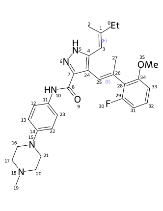 CC/C(C)=C/c1[nH]nc(C(=O)Nc2ccc(N3CCN(C)CC3)cc2)c1/C=C(\C)c1c(F)cccc1OC